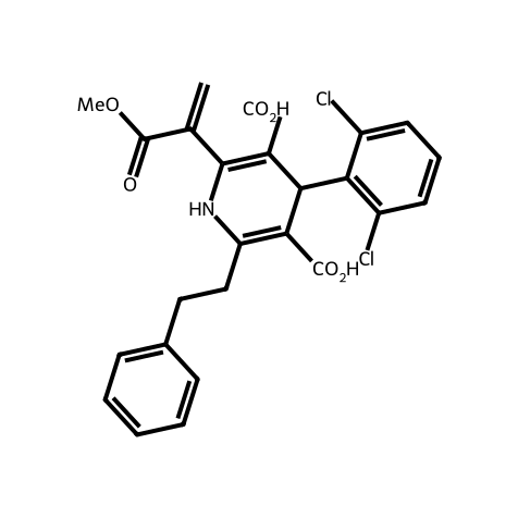 C=C(C(=O)OC)C1=C(C(=O)O)C(c2c(Cl)cccc2Cl)C(C(=O)O)=C(CCc2ccccc2)N1